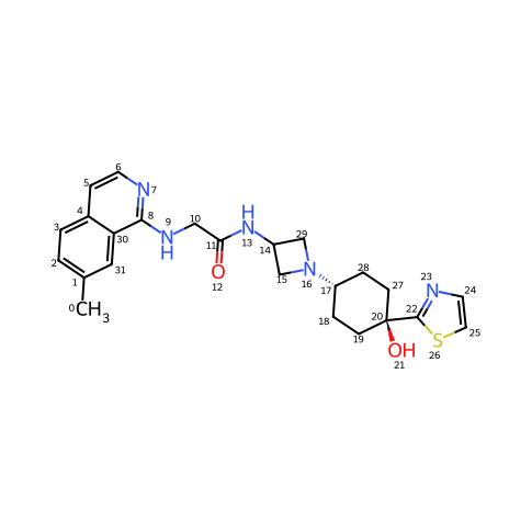 Cc1ccc2ccnc(NCC(=O)NC3CN([C@H]4CC[C@@](O)(c5nccs5)CC4)C3)c2c1